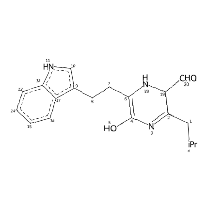 CC(C)CC1=NC(O)=C(CCc2c[nH]c3ccccc23)NC1C=O